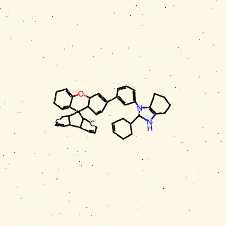 C1=CCC(C2NC3=C(CCCC3)N2c2cccc(C3=CC4OC5=CCCC=C5C5(C4C=C3)C3CCC=CC3C3C=CCCC35)c2)CC1